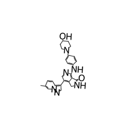 Cc1ccc2c(-c3cnc(Nc4ccc(N5CCC(O)CC5)cc4)c4c3CNC4=O)cnn2c1